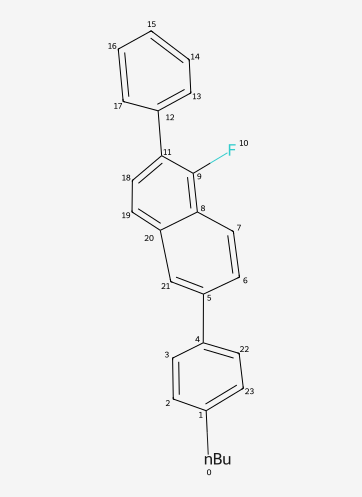 CCCCc1ccc(-c2ccc3c(F)c(-c4ccccc4)ccc3c2)cc1